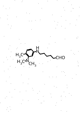 Cc1ccc(NCCCCCC=O)cc1N(C)C